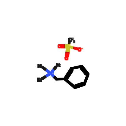 CC[N+](CC)(CC)Cc1ccccc1.O=S(=O)([O-])C(F)(F)F